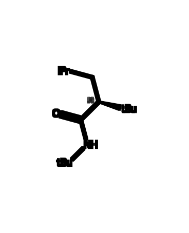 CC(C)C[C@H](C(=O)NC(C)(C)C)C(C)(C)C